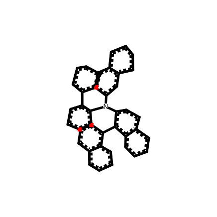 c1ccc(-c2ccccc2N(c2ccc3ccccc3c2)c2ccc3ccccc3c2-c2cccc3ccccc23)cc1